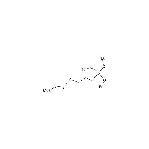 CCO[Si](CCCSSSSC)(OCC)OCC